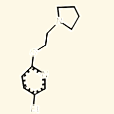 CCc1ccc(OCCN2CCCC2)nc1